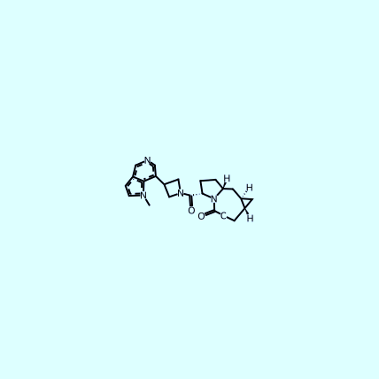 Cn1ccc2cncc(C3CN(C(=O)[C@@H]4CC[C@@H]5C[C@H]6C[C@@H]6CCC(=O)N54)C3)c21